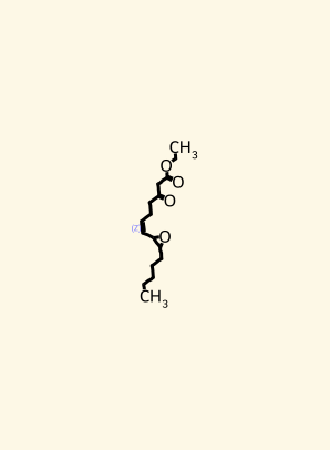 CCCCCC1OC1/C=C\CCC(=O)CC(=O)OCC